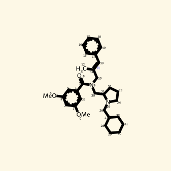 COc1cc(OC)cc(C(=O)N(C/C(C)=C/c2ccccc2)CC2CCCN2CC2CCCCC2)c1